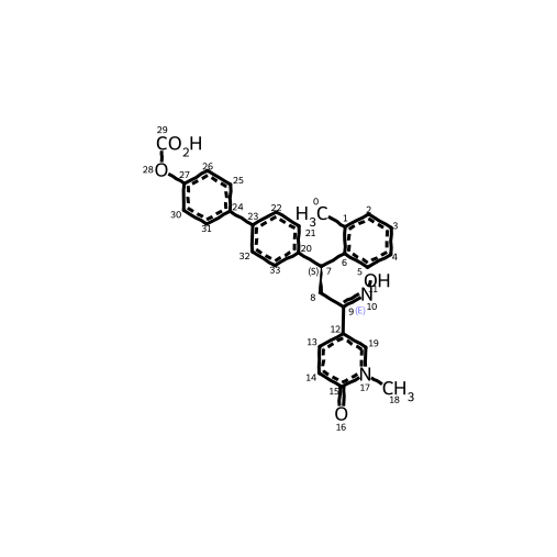 Cc1ccccc1[C@@H](C/C(=N\O)c1ccc(=O)n(C)c1)c1ccc(-c2ccc(OC(=O)O)cc2)cc1